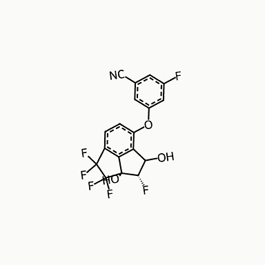 N#Cc1cc(F)cc(Oc2ccc3c4c2C(O)[C@H](F)[C@]4(O)C(F)(F)C3(F)F)c1